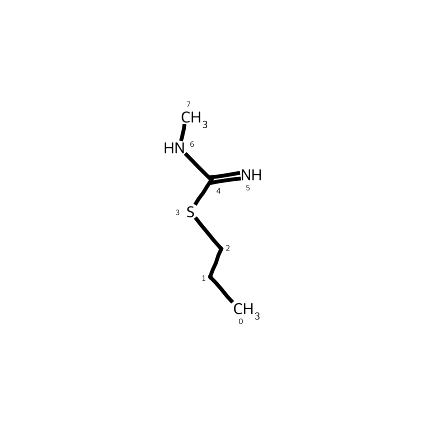 CCCSC(=N)NC